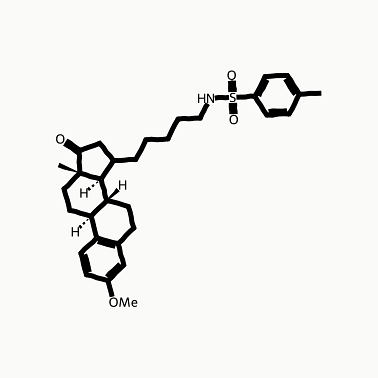 COc1ccc2c(c1)CC[C@@H]1[C@@H]2CC[C@]2(C)C(=O)CC(CCCCCNS(=O)(=O)c3ccc(C)cc3)[C@@H]12